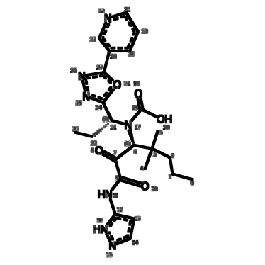 CCCC(C)(C)[C@@H](C(=O)C(=O)Nc1ccn[nH]1)N(C(=O)O)[C@H](CC)c1nnc(-c2cccnc2)o1